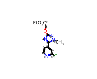 CCOC(=O)COc1nc(-c2ccnc(F)c2)n(C)n1